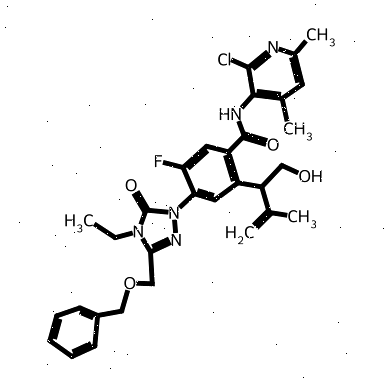 C=C(C)C(CO)c1cc(-n2nc(COCc3ccccc3)n(CC)c2=O)c(F)cc1C(=O)Nc1c(C)cc(C)nc1Cl